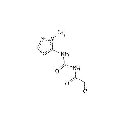 Cn1nccc1NC(=O)NC(=O)CCl